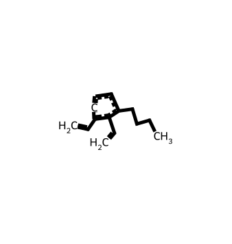 C=Cc1cccc(CCCC)c1C=C